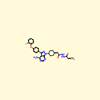 C=CC(=O)NNC(=O)C=C1CCC(n2nc(-c3ccc(Oc4ccccc4F)cc3)c3c(N)ncnc32)CC1